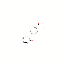 CON(C)C(=O)[C@H]1CC[C@H](n2ncc(N)c(Cl)c2=O)CC1